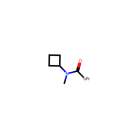 CCCC(=O)N(C)C1CCC1